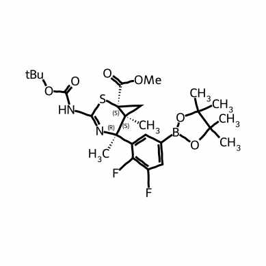 COC(=O)[C@]12C[C@@]1(C)[C@@](C)(c1cc(B3OC(C)(C)C(C)(C)O3)cc(F)c1F)N=C(NC(=O)OC(C)(C)C)S2